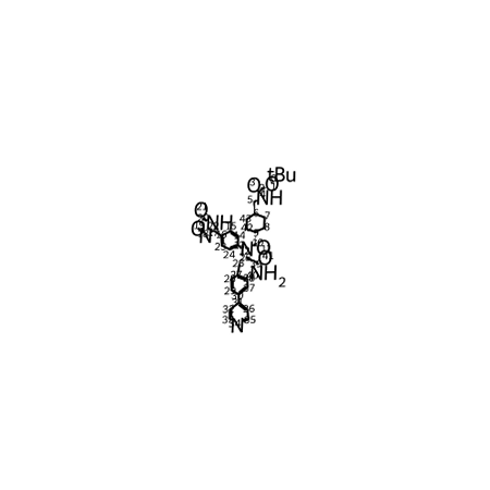 CC(C)(C)OC(=O)NC[C@H]1CC[C@H](C(=O)N(c2ccc(-c3noc(=O)[nH]3)cc2)[C@@H](Cc2ccc(-c3ccncc3)cc2)C(N)=O)CC1